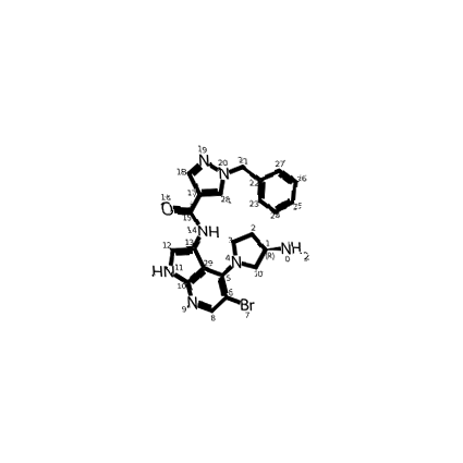 N[C@@H]1CCN(c2c(Br)cnc3[nH]cc(NC(=O)c4cnn(Cc5ccccc5)c4)c23)C1